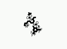 CCC1CC(N(Cc2cc(C(F)(F)F)cc(C(F)(F)F)c2)C(=O)OC)CC(Cc2ccno2)N1C(=O)OC(C)(C)C